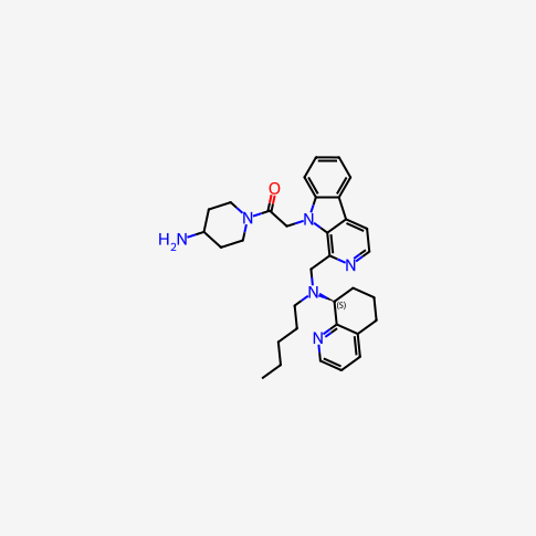 CCCCCN(Cc1nccc2c3ccccc3n(CC(=O)N3CCC(N)CC3)c12)[C@H]1CCCc2cccnc21